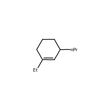 [CH2]CCC1C=C(CC)CCC1